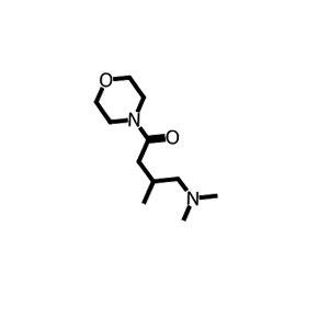 CC(CC(=O)N1CCOCC1)CN(C)C